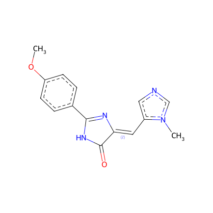 COc1ccc(C2=N/C(=C\c3cncn3C)C(=O)N2)cc1